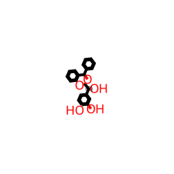 O=C(OC(c1ccccc1)c1ccccc1)[C@H](O)c1ccc(O)c(O)c1